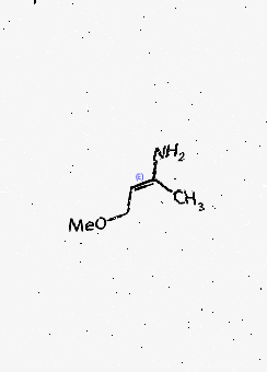 COC/C=C(\C)N